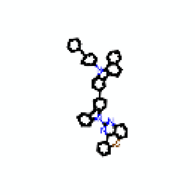 c1ccc(-c2ccc(-n3c4ccc(-c5ccc6c(c5)c5ccccc5n6-c5nc6c7c(cccc7n5)Sc5ccccc5-6)cc4c4ccc5ccccc5c43)cc2)cc1